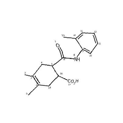 CC1=C(C)CC(C(=O)Nc2ccccc2C)C(C(=O)O)C1